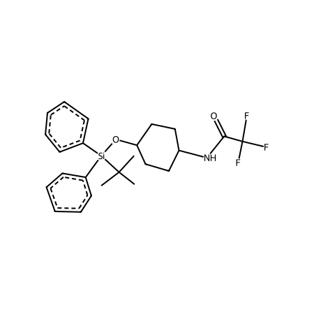 CC(C)(C)[Si](OC1CCC(NC(=O)C(F)(F)F)CC1)(c1ccccc1)c1ccccc1